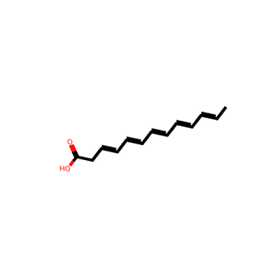 C/C=C/C=C/C=C/C=C/C=C/CC(=O)O